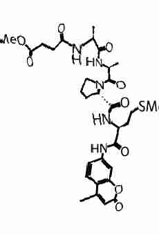 COC(=O)CCC(=O)N[C@@H](C)C(=O)N[C@@H](C)C(=O)N1CCC[C@H]1C(=O)N[C@@H](CCSC)C(=O)Nc1ccc2c(C)cc(=O)oc2c1